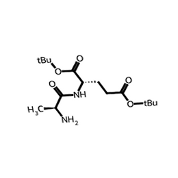 C[C@H](N)C(=O)N[C@@H](CCC(=O)OC(C)(C)C)C(=O)OC(C)(C)C